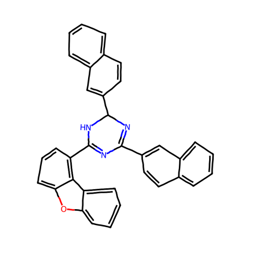 c1ccc2cc(C3=NC(c4ccc5ccccc5c4)NC(c4cccc5oc6ccccc6c45)=N3)ccc2c1